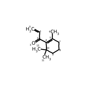 C=CC(=O)C1=C(C)CCCC1(C)C